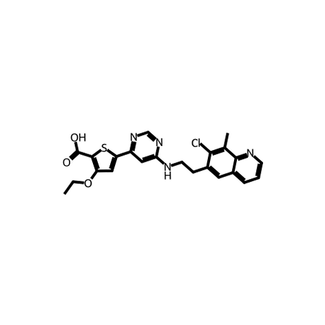 CCOc1cc(-c2cc(NCCc3cc4cccnc4c(C)c3Cl)ncn2)sc1C(=O)O